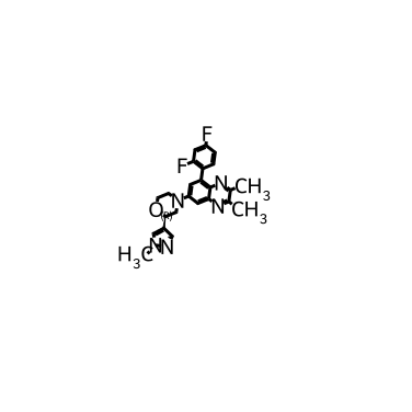 Cc1nc2cc(N3CCO[C@H](c4cnn(C)c4)C3)cc(-c3ccc(F)cc3F)c2nc1C